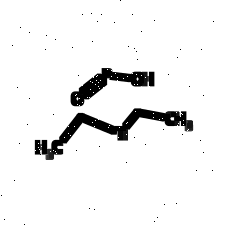 C[CH2][Ti][CH2]C.O=PO